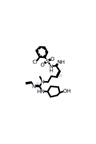 C=C/N=C(/NC1CCC(O)CC1)N(C)CC/C=C\C(=N)NS(=O)(=O)c1ccccc1Cl